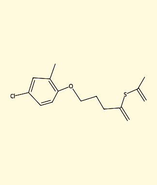 C=C(C)SC(=C)CCCOc1ccc(Cl)cc1C